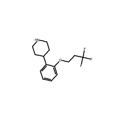 FC(F)(F)CCOc1ccccc1C1CCNCC1